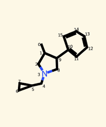 CC1CN(CC2CC2)CC1c1ccccc1